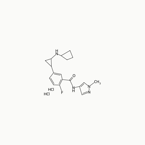 Cl.Cl.Cn1cc(NC(=O)c2cc(C3CC3NC3CCC3)ccc2F)cn1